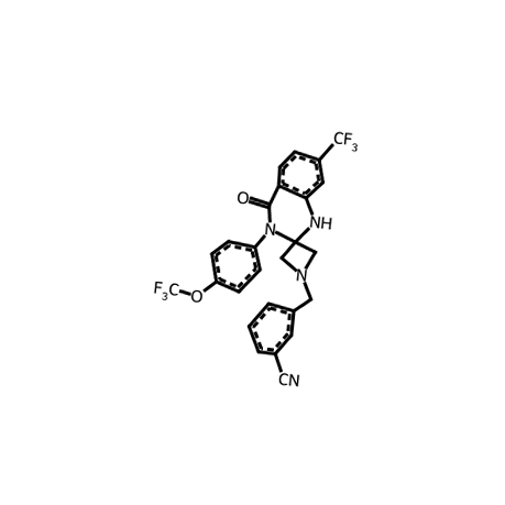 N#Cc1cccc(CN2CC3(C2)Nc2cc(C(F)(F)F)ccc2C(=O)N3c2ccc(OC(F)(F)F)cc2)c1